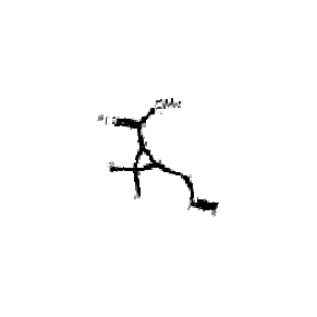 C=CCC1C(C(=O)OC)C1(C)C